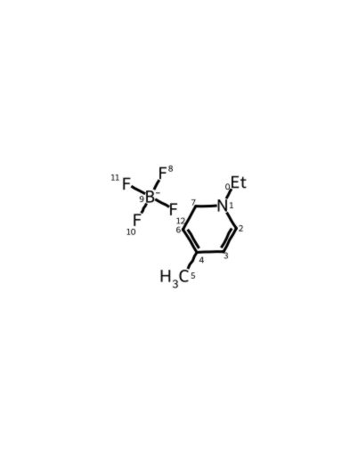 CCN1C=CC(C)=CC1.F[B-](F)(F)F